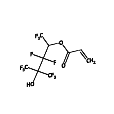 C=CC(=O)OC(C(F)(F)F)C(F)(F)C(O)(C(F)(F)F)C(F)(F)F